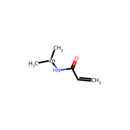 C=CC(=O)[NH][Zn]([CH3])[CH3]